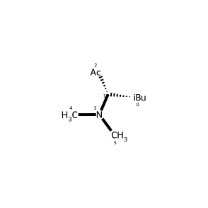 CC[C@@H](C)[C@@H](C(C)=O)N(C)C